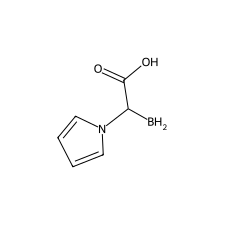 BC(C(=O)O)n1cccc1